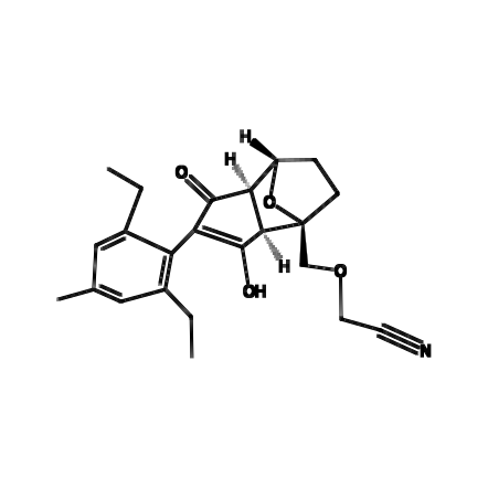 CCc1cc(C)cc(CC)c1C1=C(O)[C@H]2[C@@H](C1=O)[C@@H]1CC[C@@]2(COCC#N)O1